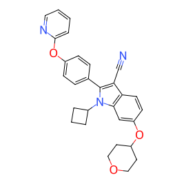 N#Cc1c(-c2ccc(Oc3ccccn3)cc2)n(C2CCC2)c2cc(OC3CCOCC3)ccc12